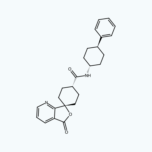 O=C1O[C@]2(CC[C@@H](C(=O)N[C@H]3CC[C@H](c4ccccc4)CC3)CC2)c2ncccc21